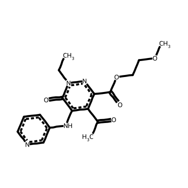 CCn1nc(C(=O)OCCOC)c(C(C)=O)c(Nc2cccnc2)c1=O